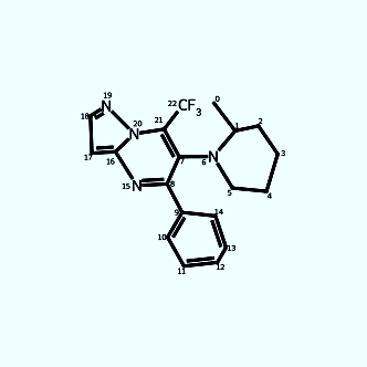 CC1CCCCN1c1c(-c2ccccc2)nc2c[c]nn2c1C(F)(F)F